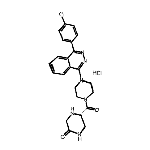 Cl.O=C1CN[C@H](C(=O)N2CCN(c3nnc(-c4ccc(Cl)cc4)c4ccccc34)CC2)CN1